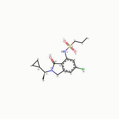 CCCS(=O)(=O)Nc1cc(Br)cc2c1C(=O)N([C@@H](C)C1CC1)C2